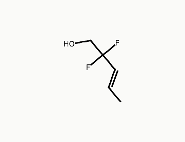 CC=CC(F)(F)CO